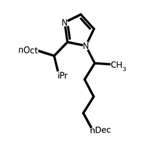 CCCCCCCCCCCCCC(C)n1ccnc1C(CCCCCCCC)C(C)C